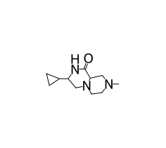 CN1CCN2CC(C3CC3)NC(=O)C2C1